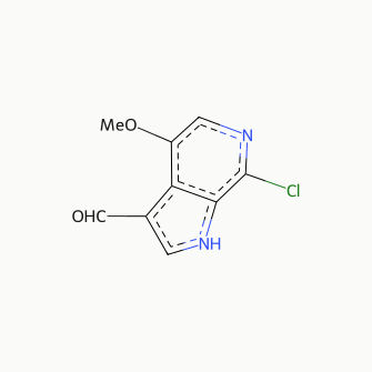 COc1cnc(Cl)c2[nH]cc(C=O)c12